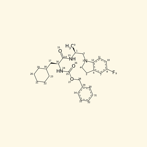 C[C@@H](CN1CCc2cc(F)ccc21)NC(=O)[C@H](CC1CCCCC1)NC(=O)OCc1ccccc1